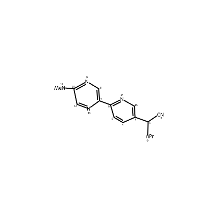 CCCC(C#N)c1ccc(-c2cnc(NC)cn2)nc1